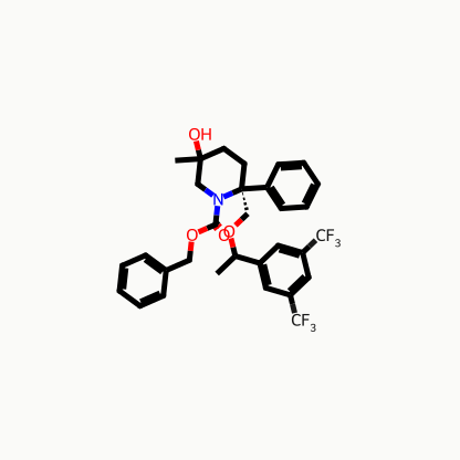 CC(OC[C@@]1(c2ccccc2)CCC(C)(O)CN1C(=O)OCc1ccccc1)c1cc(C(F)(F)F)cc(C(F)(F)F)c1